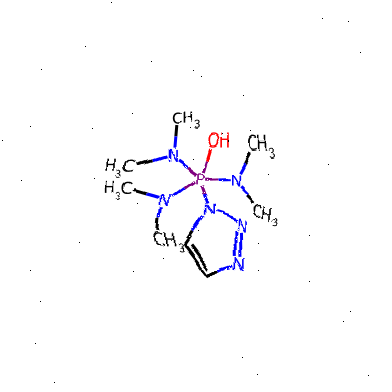 CN(C)P(O)(N(C)C)(N(C)C)n1ccnn1